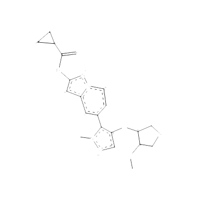 COC1CNCC1Oc1cnn(C)c1-c1ccn2nc(NC(=O)C3CC3)cc2c1